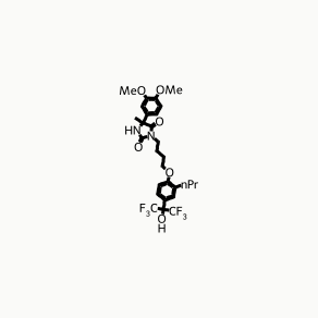 CCCc1cc(C(O)(C(F)(F)F)C(F)(F)F)ccc1OCCCCN1C(=O)NC(C)(c2ccc(OC)c(OC)c2)C1=O